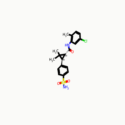 Cc1ccc(Cl)cc1NC(=O)[C@@H]1[C@@H](c2ccc(S(N)(=O)=O)cc2)C1(C)C